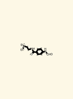 CCN(CC)CCNC(=O)c1ccc(NC=O)cc1